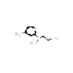 Cc1ccnc(N(C)CCO)c1